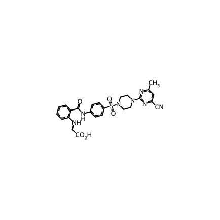 Cc1cc(C#N)nc(N2CCN(S(=O)(=O)c3ccc(NC(=O)c4ccccc4NCC(=O)O)cc3)CC2)n1